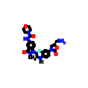 CCN(CCn1c2ccc(NC(=O)N3CCOCC3)cc2c(=O)n1C)c1ccc(N2C[C@H](CN)OC2=O)cc1F